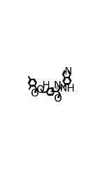 Cc1ccc(C(=O)OCc2ccc(C(C=O)[C@@H](N)Nc3ccc4cnccc4c3)cc2)c(C)c1